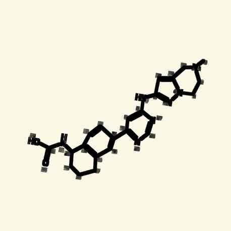 CN1CCn2nc(Nc3cc(-c4ccc5c(c4)CCCC5NC(=O)O)ncn3)cc2C1